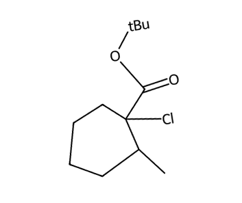 CC1CCCCC1(Cl)C(=O)OC(C)(C)C